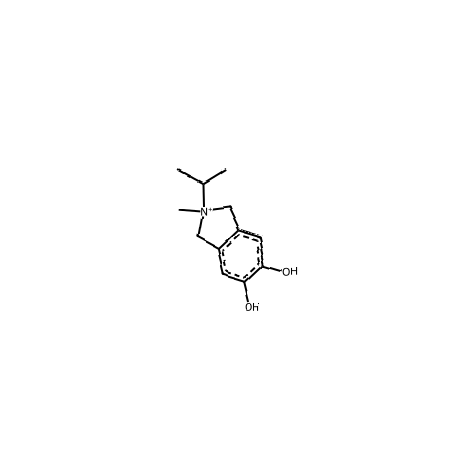 CC(C)[N+]1(C)Cc2cc(O)c(O)cc2C1